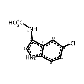 O=C(O)Nc1c[nH]c2ccc(Cl)cc12